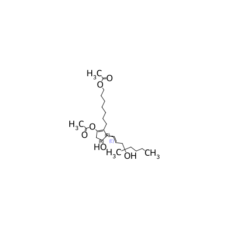 CCCCC(C)(O)C/C=C/[C@@H]1C(CCCCCCCOC(C)=O)=C(OC(C)=O)C[C@H]1O